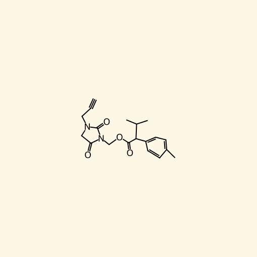 C#CCN1CC(=O)N(COC(=O)C(c2ccc(C)cc2)C(C)C)C1=O